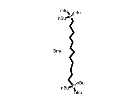 CCCC[P+](CCCC)(CCCC)CCCCCCCCCCCC[P+](CCCC)(CCCC)CCCC.[Br-].[Br-]